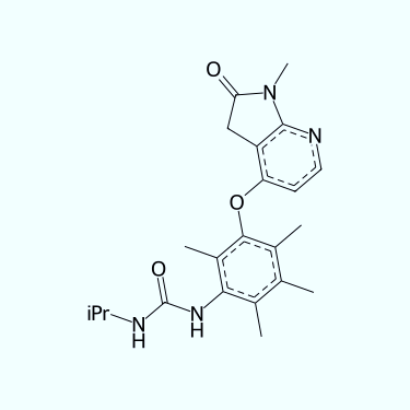 Cc1c(C)c(NC(=O)NC(C)C)c(C)c(Oc2ccnc3c2CC(=O)N3C)c1C